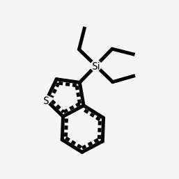 CC[Si](CC)(CC)c1csc2ccccc12